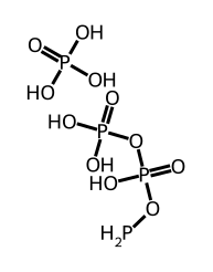 O=P(O)(O)O.O=P(O)(O)OP(=O)(O)OP